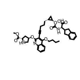 CCCCOc1c(C#CCCC[C@@H]2C[C@H]2OC(=O)N[C@H](C(=O)O)C2Cc3ccccc3C2)c(O[C@H]2CN[C@H](C(=O)OC)C2)nc2ccccc12